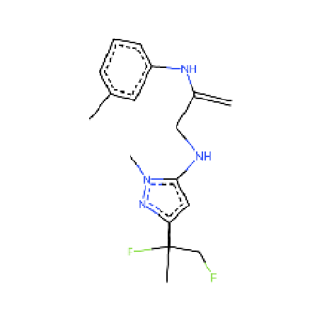 C=C(CNc1cc(C(C)(F)CF)nn1C)Nc1cccc(C)c1